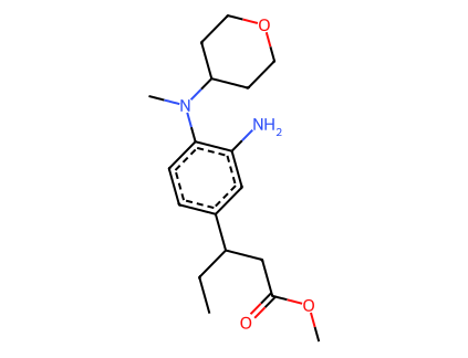 CCC(CC(=O)OC)c1ccc(N(C)C2CCOCC2)c(N)c1